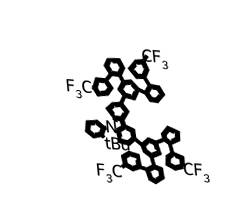 CC(C)(C)c1ccccc1-n1c2ccc(-c3cc(-c4ccccc4-c4cccc(C(F)(F)F)c4)cc(-c4ccccc4-c4cccc(C(F)(F)F)c4)c3)cc2c2cc(-c3cc(-c4ccccc4-c4cccc(C(F)(F)F)c4)cc(-c4ccccc4-c4cccc(C(F)(F)F)c4)c3)ccc21